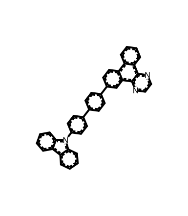 c1ccc2c(c1)c1ccc(-c3ccc(-c4ccc(-n5c6ccccc6c6ccccc65)cc4)cc3)cc1c1nccnc21